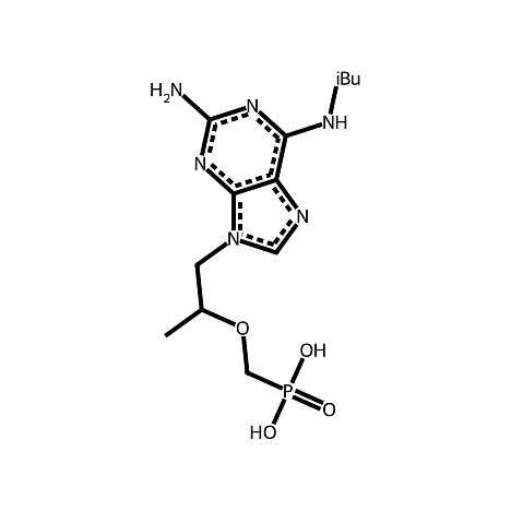 CCC(C)Nc1nc(N)nc2c1ncn2CC(C)OCP(=O)(O)O